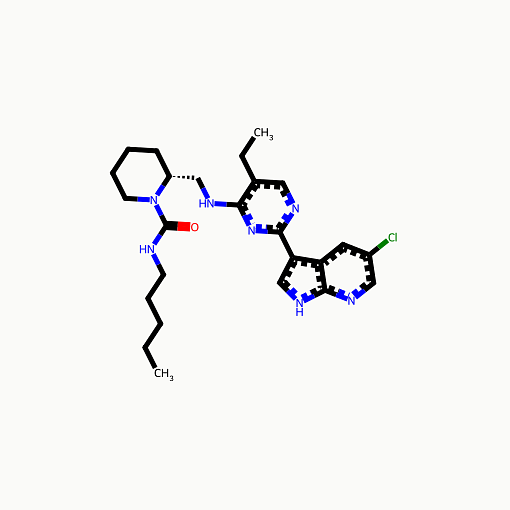 CCCCCNC(=O)N1CCCC[C@@H]1CNc1nc(-c2c[nH]c3ncc(Cl)cc23)ncc1CC